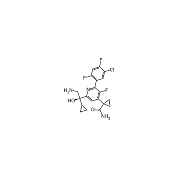 NC[C@](O)(c1cc(C2(C(N)=O)CC2)c(F)c(-c2cc(Cl)c(F)cc2F)n1)C1CC1